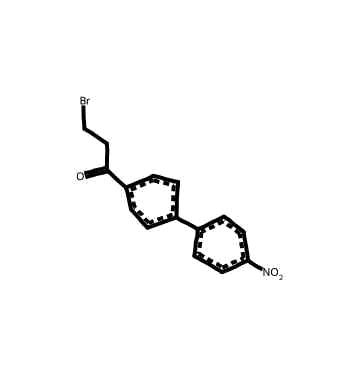 O=C(CCBr)c1ccc(-c2ccc([N+](=O)[O-])cc2)cc1